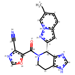 Cc1ccc2cc([C@@H]3c4nc[nH]c4CCN3C(=O)c3ocnc3C#N)nn2c1